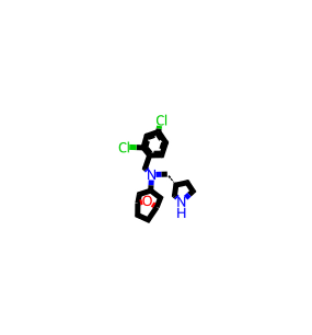 Clc1ccc(CN(C[C@@H]2CCNC2)C2CC3CCC(C2)O3)c(Cl)c1